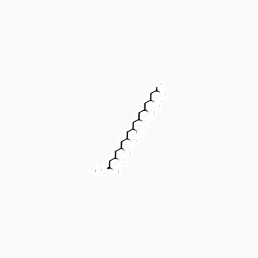 C=C(Cl)CC(Cl)CC(Cl)CC(Cl)CC(Cl)CC(Cl)CC(Cl)CC(Cl)CC(Cl)CC